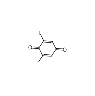 O=C1C=C(I)C(=O)C(I)=C1